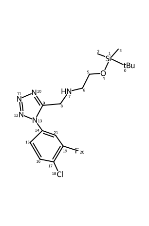 CC(C)(C)[Si](C)(C)OCCNCc1nnnn1-c1ccc(Cl)c(F)c1